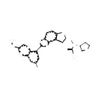 COc1cnc2c(-c3nc4ccc5c(c4s3)C[C@@H](CN(C(=O)O)[C@H]3CCOC3)O5)cc(C)cc2n1